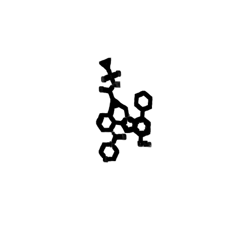 COc1ccc(C2CCCCC2)c2c1cc1n2CC2=C(C(=O)NS(=O)(=O)C3CC3)C2=C2C=CC[C@@H](C(=O)N3CCOCC3)C21